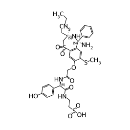 CCCC[C@@]1(CC)CS(=O)(=O)c2cc(OCC(=O)N[C@@H](C(=O)NCCS(=O)(=O)O)c3ccc(O)cc3)c(SC)cc2[C@](N)(c2ccccc2)N1